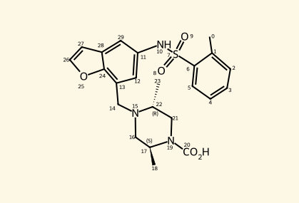 Cc1ccccc1S(=O)(=O)Nc1cc(CN2C[C@H](C)N(C(=O)O)C[C@H]2C)c2occc2c1